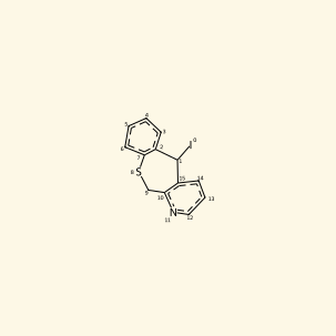 IC1c2ccccc2SCc2ncccc21